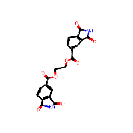 O=C(OCCOC(=O)c1ccc2c(c1)C(=O)NC2=O)c1ccc2c(c1)C(=O)NC2=O